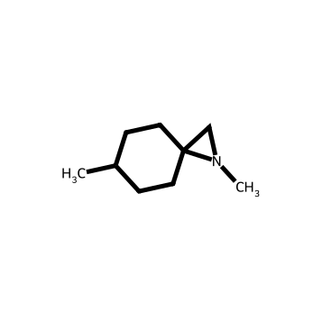 CC1CCC2(CC1)CN2C